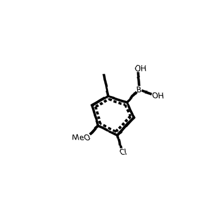 COc1cc(C)c(B(O)O)cc1Cl